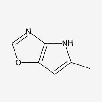 Cc1cc2ocnc2[nH]1